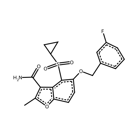 Cc1oc2ccc(OCc3cccc(F)c3)c(S(=O)(=O)C3CC3)c2c1C(N)=O